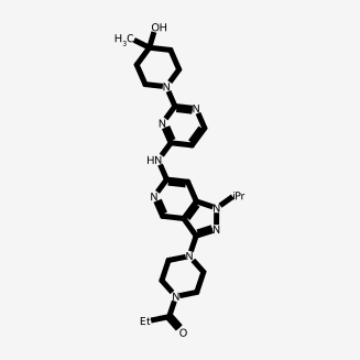 CCC(=O)N1CCN(c2nn(C(C)C)c3cc(Nc4ccnc(N5CCC(C)(O)CC5)n4)ncc23)CC1